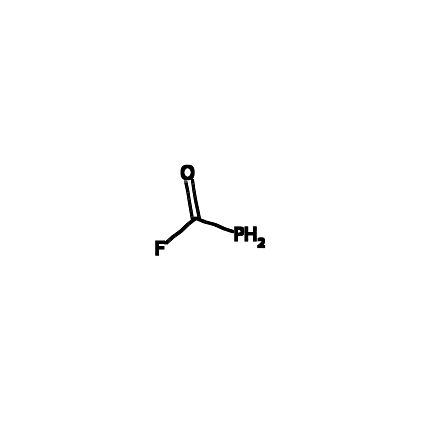 O=C(F)P